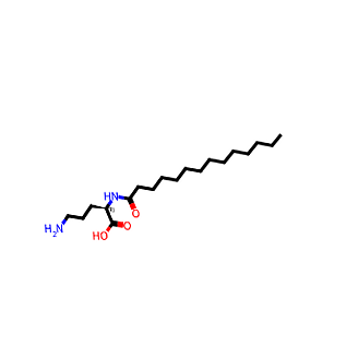 CCCCCCCCCCCCCC(=O)N[C@H](CCCN)C(=O)O